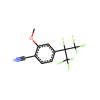 COc1cc(C(F)(C(F)(F)F)C(F)(F)F)ccc1C#N